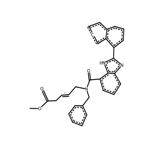 COC(=O)C/C=C/CN(Cc1ccccc1)C(=O)c1cccc2nc(-c3cccc4ccccc34)[nH]c12